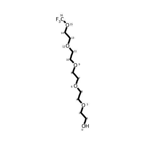 OCCOCCOCCOCCOCCOC(F)(F)F